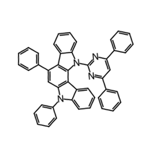 c1ccc(-c2cc(-c3ccccc3)nc(-n3c4ccccc4c4c(-c5ccccc5)cc5c(c6ccccc6n5-c5ccccc5)c43)n2)cc1